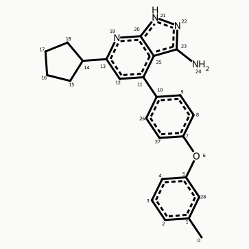 Cc1cccc(Oc2ccc(-c3cc(C4CCCC4)nc4[nH]nc(N)c34)cc2)c1